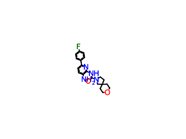 Nc1ccc(-c2ccc(F)cc2)nc1NC(=O)N1CCC2(CCOCC2)C1